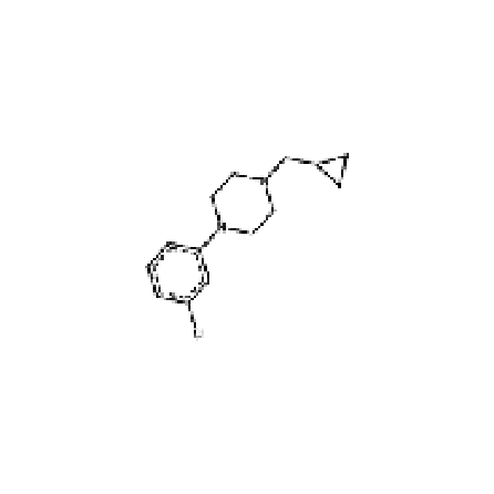 Clc1cccc(N2CCN(CC3CC3)CC2)c1